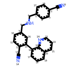 N#Cc1ccc(CNCc2ccc(C#N)c(-c3cccc4cccnc34)c2)cc1